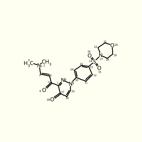 CN(C)C=CC(=O)c1nn(-c2ccc(S(=O)(=O)N3CCOCC3)cc2)ccc1=O